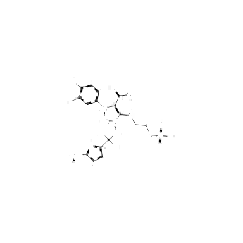 CC(C)(ON1ON(c2ccc(F)c(Br)c2)C(C(=N)N)=C1NCCNS(=O)(=O)O)c1ccc([N+](=O)[O-])o1